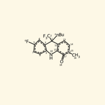 CCCCC1(C(F)(F)F)c2cc(F)ccc2Nc2c1ccn(C)c2=O